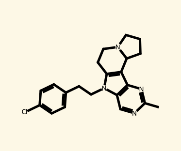 Cc1ncc2c(n1)c1c(n2CCc2ccc(Cl)cc2)CCN2CCCC12